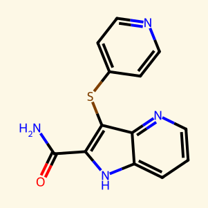 NC(=O)c1[nH]c2cccnc2c1Sc1ccncc1